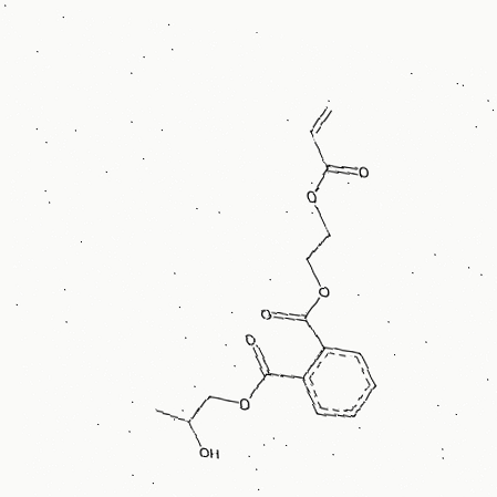 C=CC(=O)OCCOC(=O)c1ccccc1C(=O)OCC(C)O